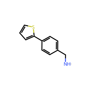 [NH]Cc1ccc(-c2cccs2)cc1